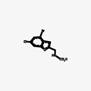 O=C(O)NCc1cc2c(Br)cc(Cl)cc2o1